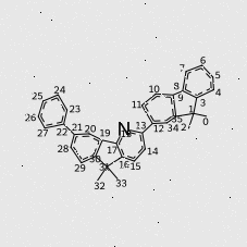 CC1(C)c2ccccc2-c2ccc(-c3ccc4c(n3)-c3cc(-c5ccccc5)ccc3C4(C)C)cc21